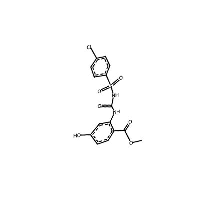 COC(=O)c1ccc(O)cc1NC(=O)NS(=O)(=O)c1ccc(Cl)cc1